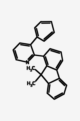 CC1(C)c2ccccc2-c2cccc(-c3ncccc3-c3ccccc3)c21